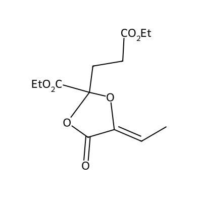 C/C=C1\OC(CCC(=O)OCC)(C(=O)OCC)OC1=O